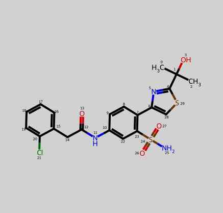 CC(C)(O)c1nc(-c2ccc(NC(=O)Cc3ccccc3Cl)cc2S(N)(=O)=O)cs1